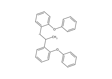 CC([C]c1ccccc1Oc1ccccc1)c1ccccc1Oc1ccccc1